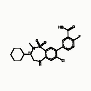 CN1[C@H](C2CCCCC2)CNc2cc(Cl)c(-c3ccc(F)c(C(=O)O)c3)cc2S1(=O)=O